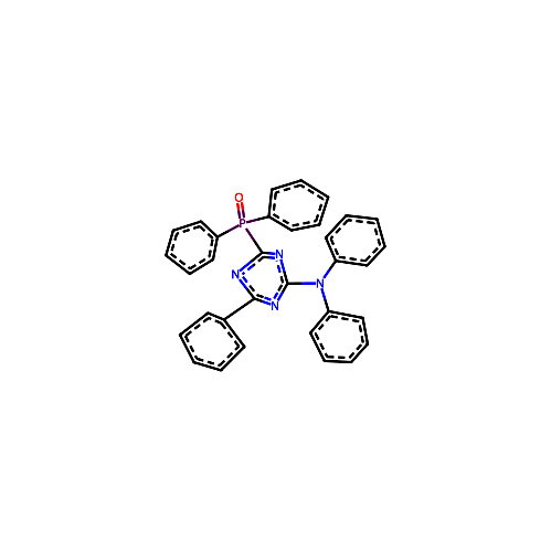 O=P(c1ccccc1)(c1ccccc1)c1nc(-c2ccccc2)nc(N(c2ccccc2)c2ccccc2)n1